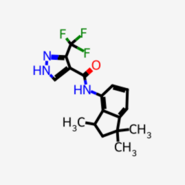 CC1CC(C)(C)c2cccc(NC(=O)c3c[nH]nc3C(F)(F)F)c21